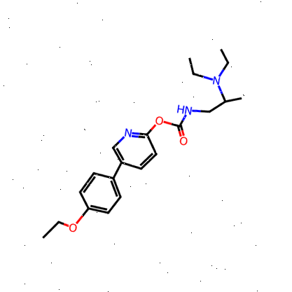 CCOc1ccc(-c2ccc(OC(=O)NCC(C)N(CC)CC)nc2)cc1